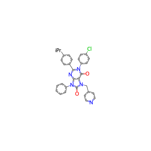 CC(C)c1ccc(-c2nc3c(c(=O)n2-c2ccc(Cl)cc2)n(Cc2ccncc2)c(=O)n3-c2ccccc2)cc1